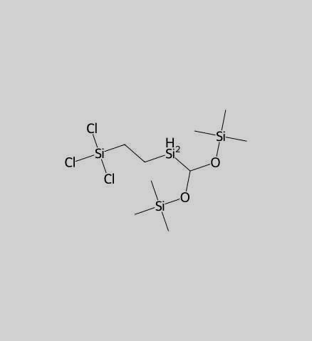 C[Si](C)(C)OC(O[Si](C)(C)C)[SiH2]CC[Si](Cl)(Cl)Cl